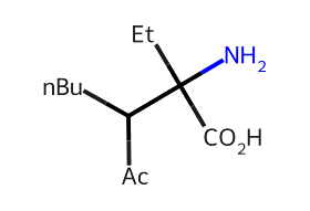 CCCCC(C(C)=O)C(N)(CC)C(=O)O